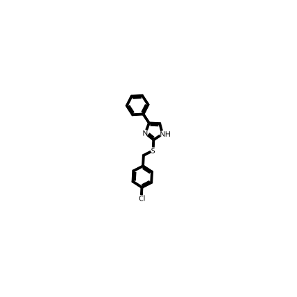 Clc1ccc(CSc2nc(-c3ccccc3)c[nH]2)cc1